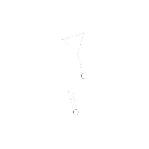 O=COC1CC1